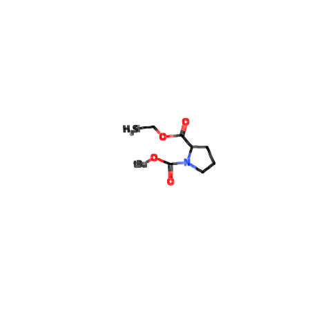 CC(C)(C)OC(=O)N1CCCC1C(=O)OC[SiH3]